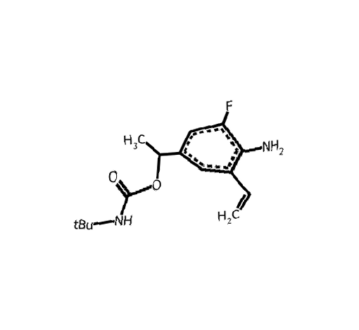 C=Cc1cc(C(C)OC(=O)NC(C)(C)C)cc(F)c1N